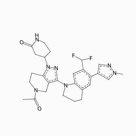 CC(=O)N1CCc2c(c(N3CCCc4cc(-c5cnn(C)c5)c(C(F)F)cc43)nn2C2CCNC(=O)C2)C1